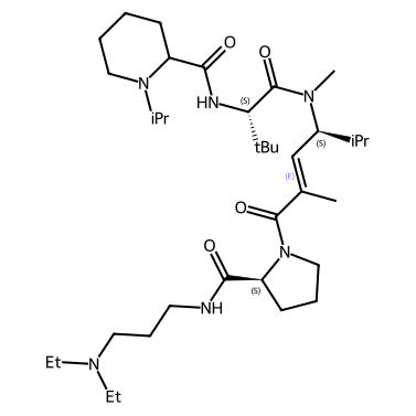 CCN(CC)CCCNC(=O)[C@@H]1CCCN1C(=O)/C(C)=C/[C@H](C(C)C)N(C)C(=O)[C@@H](NC(=O)C1CCCCN1C(C)C)C(C)(C)C